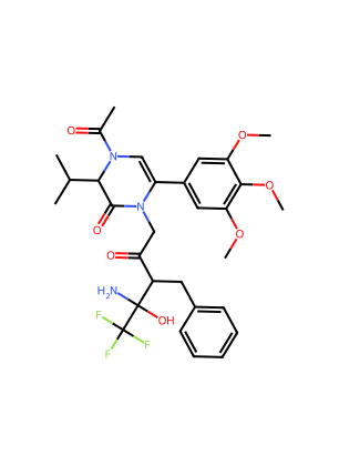 COc1cc(C2=CN(C(C)=O)C(C(C)C)C(=O)N2CC(=O)C(Cc2ccccc2)C(N)(O)C(F)(F)F)cc(OC)c1OC